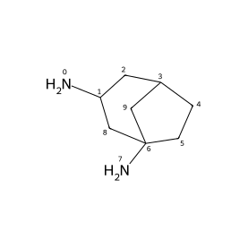 NC1CC2CCC(N)(C1)C2